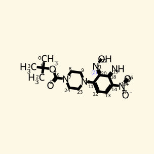 CC(C)(C)OC(=O)N1CCN(C2=CC=C([N+](=O)[O-])C(=N)/C2=N\O)CC1